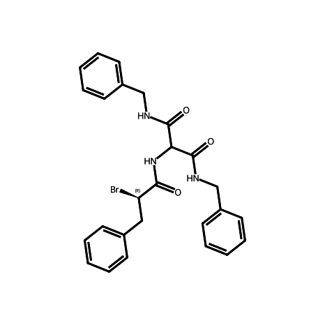 O=C(NCc1ccccc1)C(NC(=O)[C@H](Br)Cc1ccccc1)C(=O)NCc1ccccc1